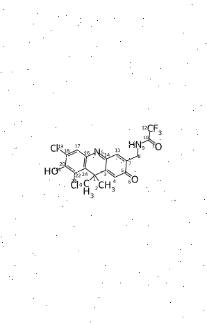 CC1(C)C2=CC(=O)C(CNC(=O)C(F)(F)F)=CC2=Nc2cc(Cl)c(O)c(Cl)c21